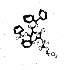 O=C(N[C@@H]1C(=O)N2C(C(=O)OC(c3ccccc3)c3ccccc3)=C(OP(=O)(c3ccccc3)c3ccccc3)CS[C@@H]12)OCC(Cl)(Cl)Cl